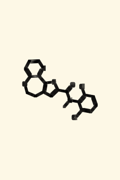 CN(C(=O)c1cc2c(s1)-c1ncccc1OCC2)c1c(Cl)cccc1Cl